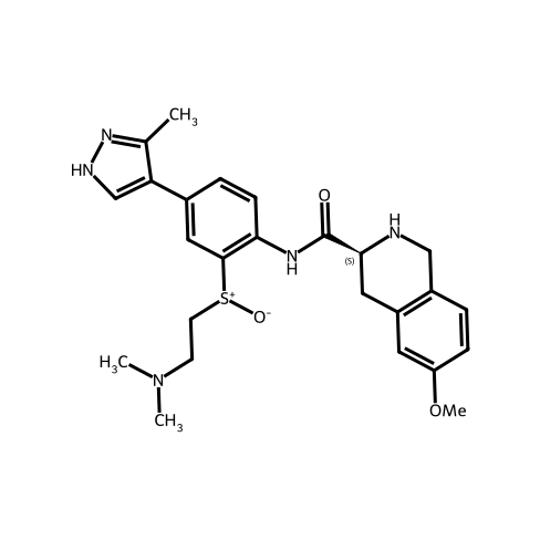 COc1ccc2c(c1)C[C@@H](C(=O)Nc1ccc(-c3c[nH]nc3C)cc1[S+]([O-])CCN(C)C)NC2